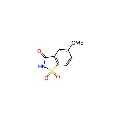 COc1ccc2c(c1)C(=O)NS2(=O)=O